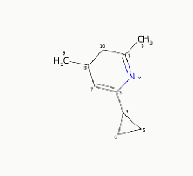 CC1=NC(C2CC2)=CC(C)C1